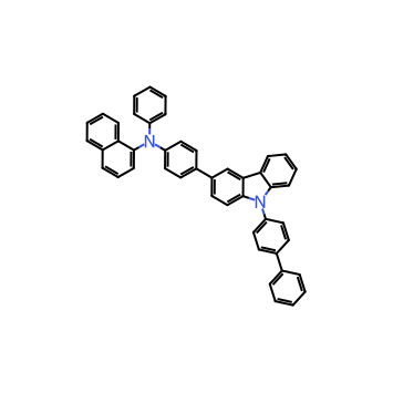 c1ccc(-c2ccc(-n3c4ccccc4c4cc(-c5ccc(N(c6ccccc6)c6cccc7ccccc67)cc5)ccc43)cc2)cc1